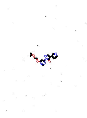 CC(C)OCCOc1cc(-n2[nH]cc(-c3cccnc3)c2=O)ncn1